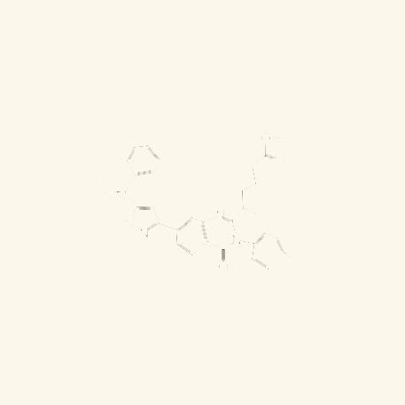 CO[C@@H](c1ccccc1)c1cc(-c2ccc3c(=O)n(-c4ccc(F)cc4)c(C(C)CCCC(=O)O)nc3c2)no1